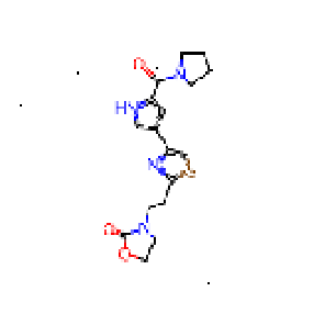 O=C1OCCN1CCc1nc(-c2c[nH]c(C(=O)N3CCCC3)c2)cs1